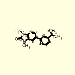 CC(C)c1ccnc(-c2cnc3c(c2)n(C)c(=O)n3C)c1